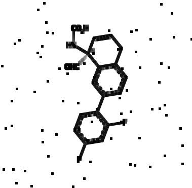 O=C[C@]1(NC(=O)O)C=CCc2ccc(-c3ccc(F)cc3F)cc21